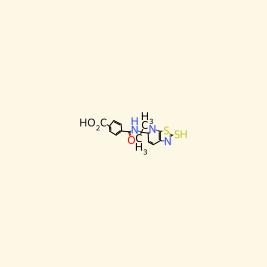 CC(C)(NC(=O)c1ccc(C(=O)O)cc1)c1ccc2nc(S)sc2n1